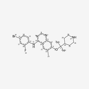 [2H]C([2H])(Oc1cc2ncnc(Nc3ccc(Br)cc3F)c2cc1C)C1CCNCC1